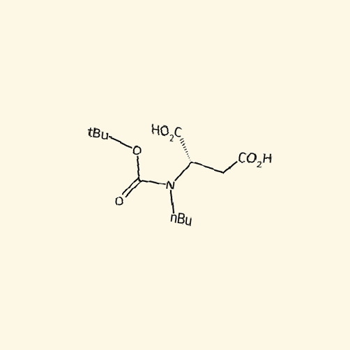 CCCCN(C(=O)OC(C)(C)C)[C@@H](CC(=O)O)C(=O)O